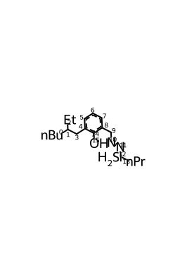 CCCCC(CC)Cc1cccc(C/N=N/[SiH2]CCC)c1O